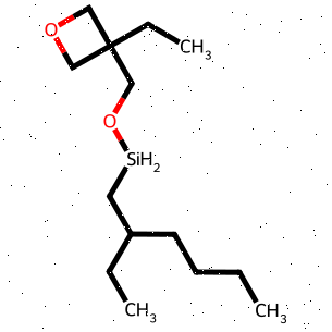 CCCCC(CC)C[SiH2]OCC1(CC)COC1